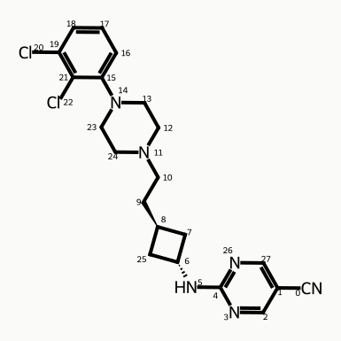 N#Cc1cnc(N[C@H]2C[C@H](CCN3CCN(c4cccc(Cl)c4Cl)CC3)C2)nc1